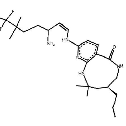 CCC[C@@H]1CNC(=O)c2ccc(N/C=C\C(N)CCC(C)(C)C(F)(F)F)nc2NC(C)(C)C1